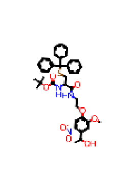 COc1cc(C(C)O)c([N+](=O)[O-])cc1OCCNC(=O)C(CSC(c1ccccc1)(c1ccccc1)c1ccccc1)NC(=O)OC(C)(C)C